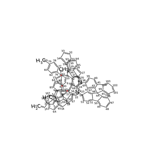 C=Cc1ccc(CC2(c3ccc(C)cc3)c3ccccc3-c3ccc(N(c4ccc(-c5ccccc5)cc4)c4ccc5c(c4)C4(c6ccccc6-c6ccc(N(c7ccc(-c8ccccc8)cc7)c7ccc8c(c7)C(C(c7ccc(C)cc7)c7ccc(C=C)cc7)c7ccccc7-8)cc64)c4ccccc4-5)cc32)cc1